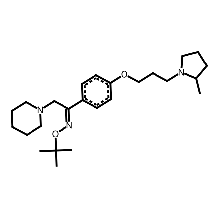 CC1CCCN1CCCOc1ccc(/C(CN2CCCCC2)=N/OC(C)(C)C)cc1